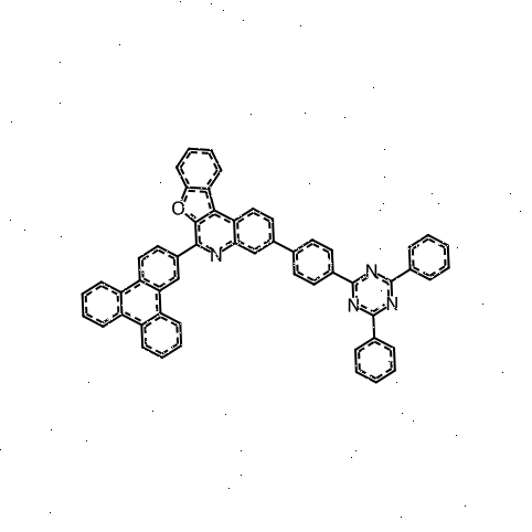 c1ccc(-c2nc(-c3ccccc3)nc(-c3ccc(-c4ccc5c(c4)nc(-c4ccc6c7ccccc7c7ccccc7c6c4)c4oc6ccccc6c45)cc3)n2)cc1